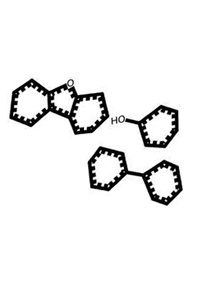 Oc1ccccc1.c1ccc(-c2ccccc2)cc1.c1ccc2c(c1)oc1ccccc12